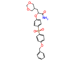 NC(=O)C(CC1COCOC1)Oc1ccc(S(=O)(=O)c2ccc(OCc3ccccc3)cc2)cc1